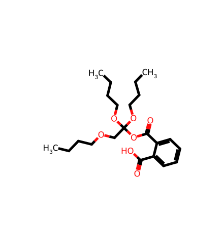 CCCCOCC(OCCCC)(OCCCC)OC(=O)c1ccccc1C(=O)O